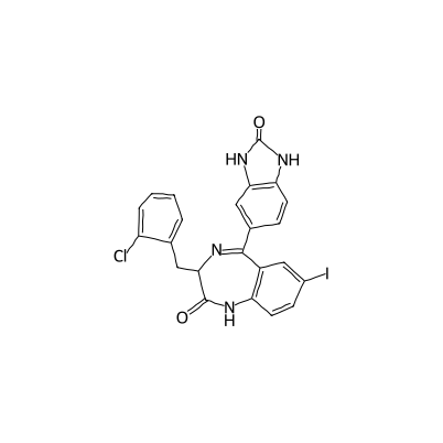 O=C1Nc2ccc(I)cc2C(c2ccc3[nH]c(=O)[nH]c3c2)=NC1Cc1ccccc1Cl